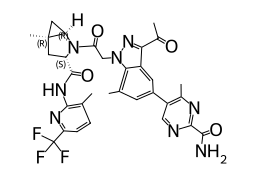 CC(=O)c1nn(CC(=O)N2[C@H](C(=O)Nc3nc(C(F)(F)F)ccc3C)C[C@@]3(C)C[C@@H]23)c2c(C)cc(-c3cnc(C(N)=O)nc3C)cc12